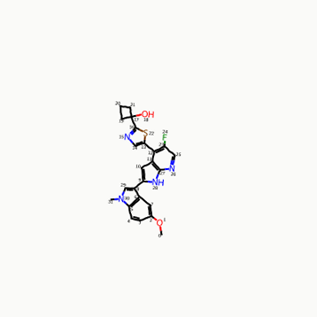 COc1ccc2c(c1)c(-c1cc3c(-c4cnc(C5(O)CCC5)s4)c(F)cnc3[nH]1)cn2C